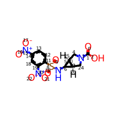 O=C(O)N1C[C@@H]2C(NS(=O)(=O)c3ccc([N+](=O)[O-])cc3[N+](=O)[O-])[C@@H]2C1